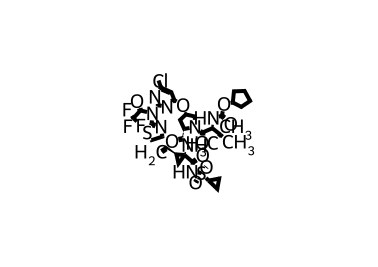 C=C[C@@H]1C[C@]1(NC(=O)[C@@H]1C[C@@H](Oc2cc(Cl)nc(N(C(=O)C(F)(F)F)C3=NCCS3)n2)CN1C(=O)[C@@H](NC(=O)OC1CCCC1)C(C)(C)C)C(=O)NS(=O)(=O)C1CC1